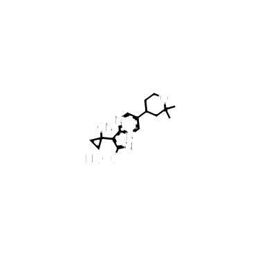 CC1(C)CC(c2cnc3c(C4(C#N)CC4)c(C(=O)O)nn3c2)CCO1